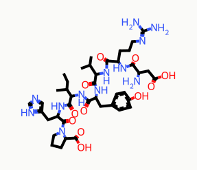 CCC(C)C(NC(=O)C(Cc1ccc(O)cc1)NC(=O)C(NC(=O)C(CCCN=C(N)N)NC(=O)C(N)CC(=O)O)C(C)C)C(=O)NC(Cc1cnc[nH]1)C(=O)N1CCCC1C(=O)O